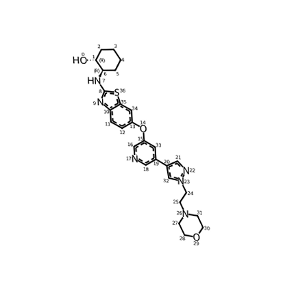 O[C@@H]1CCCC[C@H]1Nc1nc2ccc(Oc3cncc(-c4cnn(CCN5CCOCC5)c4)c3)cc2s1